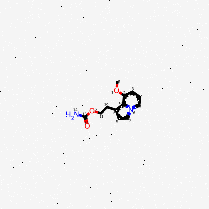 COc1cccn2ccc(CCOC(N)=O)c12